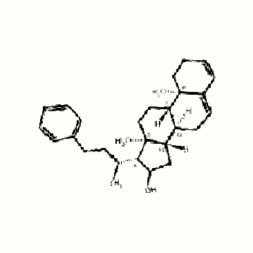 CC(CCc1ccccc1)[C@H]1C(O)C[C@H]2[C@@H]3CC=C4C=CCC[C@]4(C)[C@H]3CC[C@]12C